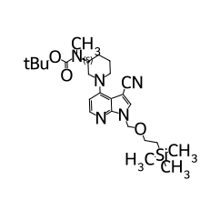 CN(C(=O)OC(C)(C)C)[C@H]1CCCN(c2ccnc3c2c(C#N)cn3COCC[Si](C)(C)C)C1